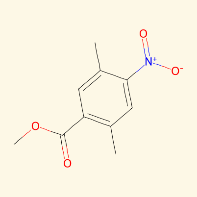 COC(=O)c1cc(C)c([N+](=O)[O-])cc1C